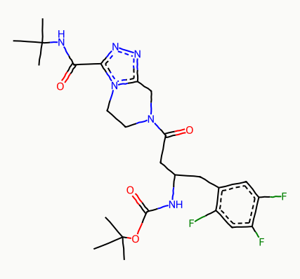 CC(C)(C)NC(=O)c1nnc2n1CCN(C(=O)CC(Cc1cc(F)c(F)cc1F)NC(=O)OC(C)(C)C)C2